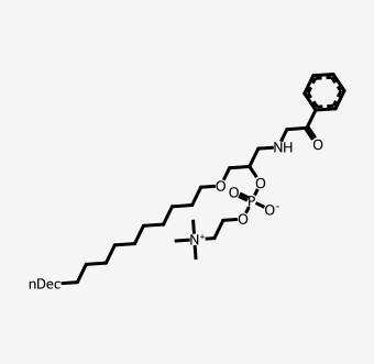 CCCCCCCCCCCCCCCCCCCCOCC(CNCC(=O)c1ccccc1)OP(=O)([O-])OCC[N+](C)(C)C